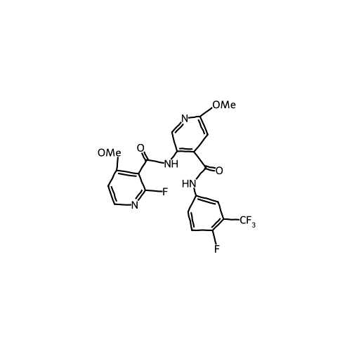 COc1cc(C(=O)Nc2ccc(F)c(C(F)(F)F)c2)c(NC(=O)c2c(OC)ccnc2F)cn1